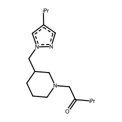 CC(C)C(=O)CN1CCCC(Cn2cc(C(C)C)cn2)C1